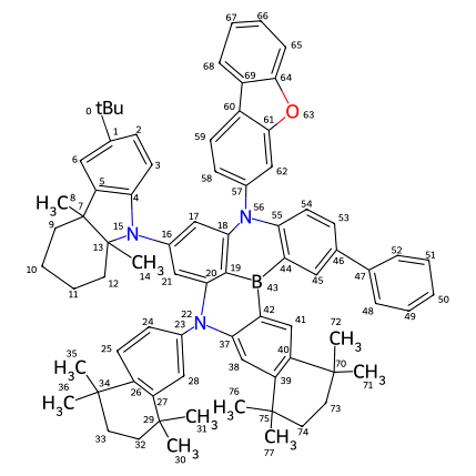 CC(C)(C)c1ccc2c(c1)C1(C)CCCCC1(C)N2c1cc2c3c(c1)N(c1ccc4c(c1)C(C)(C)CCC4(C)C)c1cc4c(cc1B3c1cc(-c3ccccc3)ccc1N2c1ccc2c(c1)oc1ccccc12)C(C)(C)CCC4(C)C